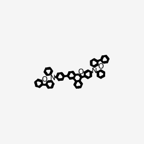 c1ccc(N(c2ccc(-c3ccc4c(c3)c3ccccc3c3c5ccc(N(c6ccccc6)c6cccc7c6oc6ccccc67)cc5oc43)cc2)c2cccc3c2oc2ccccc23)cc1